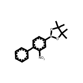 CC1(C)OB(c2ccc(-c3ccccc3)c([N+](=O)[O-])c2)OC1(C)C